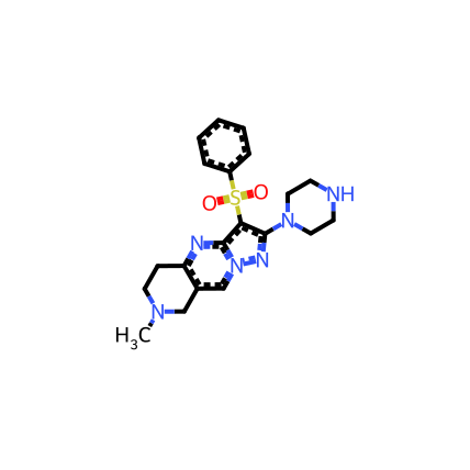 CN1CCc2nc3c(S(=O)(=O)c4ccccc4)c(N4CCNCC4)nn3cc2C1